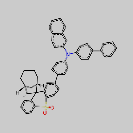 C[C@@H]1[C@@H]2CCCC[C@@H](C2)C12c1ccccc1S(=O)(=O)c1ccc(-c3ccc(N(c4ccc(-c5ccccc5)cc4)c4ccc5ccccc5c4)cc3)cc12